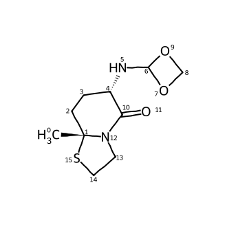 C[C@@]12CC[C@H](NC3OCO3)C(=O)N1CCS2